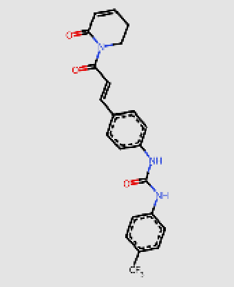 O=C(Nc1ccc(/C=C/C(=O)N2CCC=CC2=O)cc1)Nc1ccc(C(F)(F)F)cc1